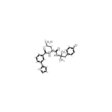 CC(C)(Cc1ccc(Cl)cc1)NC(=O)[C@H](CCC(=O)O)NC(=O)c1cccc(-c2cccs2)c1